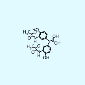 CS(=O)(=O)Nc1cc(N(B(O)O)c2ccc(O)c(NS(C)(=O)=O)c2)ccc1O